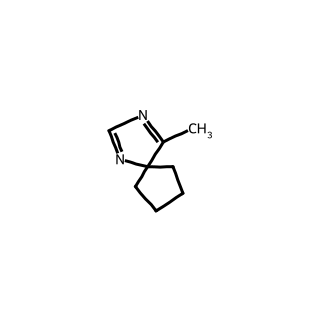 CC1=NC=NC12CCCC2